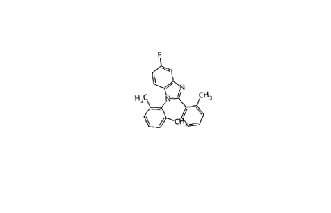 Cc1ccccc1-c1nc2cc(F)ccc2n1-c1c(C)cccc1C